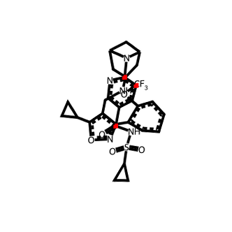 O=C(NS(=O)(=O)C1CC1)c1ccc(N2C3CC(NCc4c(-c5ccccc5OC(F)(F)F)noc4C4CC4)CC2C3)nc1